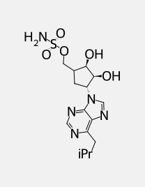 CC(C)Cc1ncnc2c1ncn2[C@@H]1CC(COS(N)(=O)=O)[C@@H](O)[C@H]1O